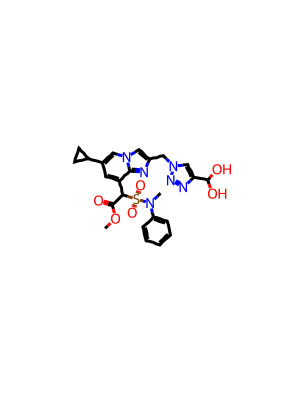 COC(=O)C(c1cc(C2CC2)cn2cc(Cn3cc(C(O)O)nn3)nc12)S(=O)(=O)N(C)c1ccccc1